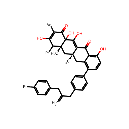 C=C(Cc1ccc(CC)cc1)Cc1ccc(-c2ccc(O)c3c2C[C@]2(C)C[C@]4(C)C(C(C)C)C(O)=C(C(C)=O)C(=O)[C@]4(O)C(O)=C2C3=O)cc1